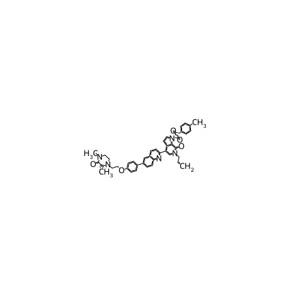 C=CCn1cc(-c2ccc3cc(-c4ccc(OCCN5CCN(C)C(=O)[C@H]5C)cc4)ccc3n2)c2ccn(S(=O)(=O)c3ccc(C)cc3)c2c1=O